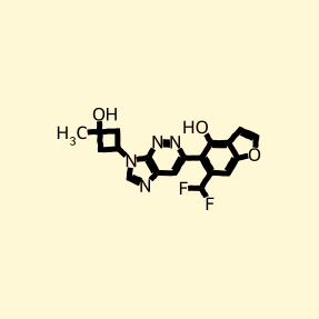 CC1(O)CC(n2cnc3cc(-c4c(C(F)F)cc5occc5c4O)nnc32)C1